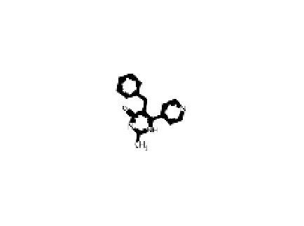 Cc1nc(=O)c(Cc2ccccc2)c(-c2ccncc2)[nH]1